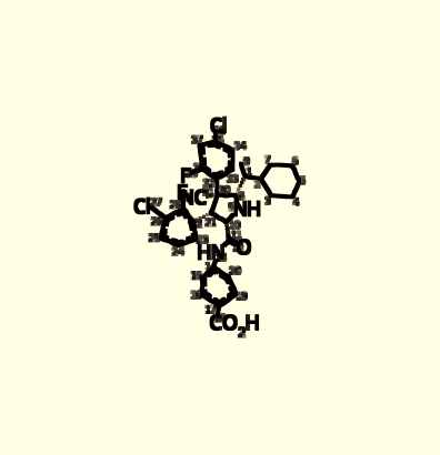 CC(C1CCCCC1)[C@@H]1N[C@@H](C(=O)Nc2ccc(C(=O)O)cc2)[C@H](c2cccc(Cl)c2F)[C@@]1(C#N)c1ccc(Cl)cc1F